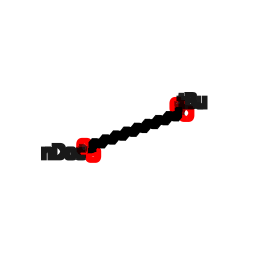 CCCCCCCCCCOC(=O)CCCCCCCCCCCCCCCCC(=O)OC(C)(C)C